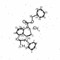 CC(=O)N(c1ccccc1)[C@H]1C[C@@H](C)N(C(=O)OCc2ccccc2)c2ccccc21